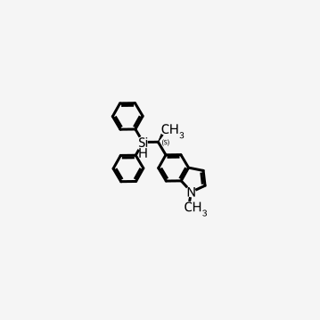 C[C@@H](c1ccc2c(ccn2C)c1)[SiH](c1ccccc1)c1ccccc1